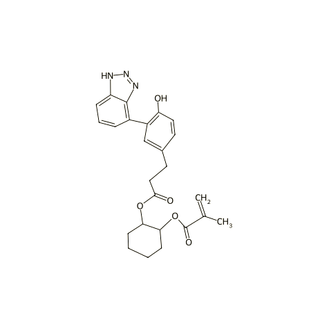 C=C(C)C(=O)OC1CCCCC1OC(=O)CCc1ccc(O)c(-c2cccc3[nH]nnc23)c1